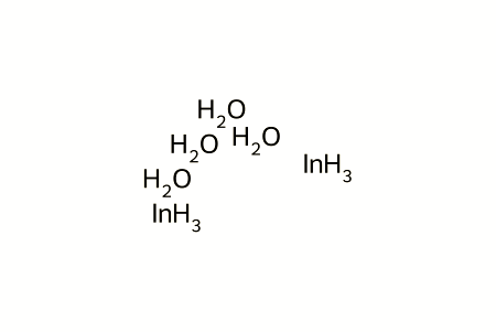 O.O.O.O.[InH3].[InH3]